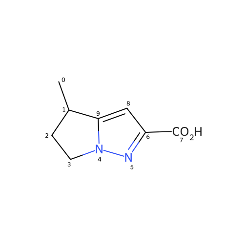 CC1CCn2nc(C(=O)O)cc21